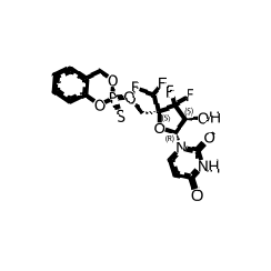 O=c1ccn([C@@H]2O[C@@](COP3(=S)OCc4ccccc4O3)(C(F)F)C(F)(F)[C@H]2O)c(=O)[nH]1